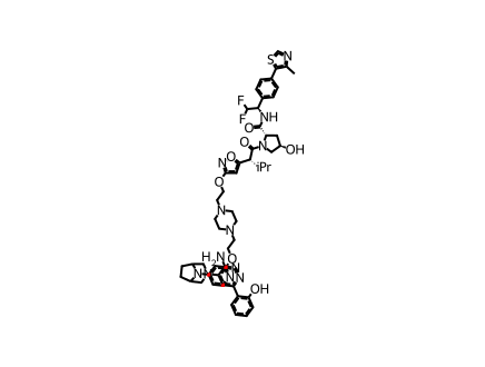 Cc1ncsc1-c1ccc([C@@H](NC(=O)[C@@H]2C[C@@H](O)CN2C(=O)[C@@H](c2cc(OCCN3CCN(CCOc4cc(N5C6CCC5CN(c5cc(-c7ccccc7O)nnc5N)C6)ccn4)CC3)no2)C(C)C)C(F)F)cc1